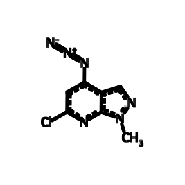 Cn1ncc2c(N=[N+]=[N-])cc(Cl)nc21